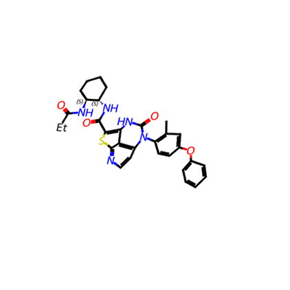 CCC(=O)N[C@H]1CCCC[C@@H]1NC(=O)c1sc2nccc3c2c1NC(=O)N3c1ccc(Oc2ccccc2)cc1C